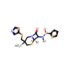 CC(=O)N(C1C(=O)N2CC(CSc3cncs3)(C(=O)O)CS[C@H]12)[S+]([O-])c1cccs1